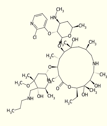 CCCNC[C@]1(O)[C@H](C)O[C@@H](O[C@H]2[C@H](C)[C@@H](O[C@@H]3O[C@H](C)C[C@H](NC)[C@H]3Oc3cccnc3Cl)[C@](C)(O)C[C@@H](C)CN[C@H](C)[C@@H](O)[C@](C)(O)[C@@H](CC)OC(=O)[C@@H]2C)C[C@@]1(C)OC